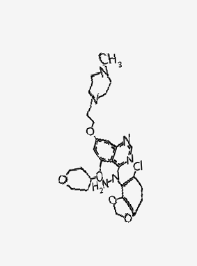 CN1CCN(CCOc2cc(OC3CCOCC3)c3c(N(N)C4=C(Cl)CCC5=C4OCO5)ncnc3c2)CC1